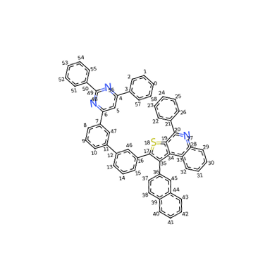 c1ccc(-c2cc(-c3cccc(-c4cccc(-c5sc6c(-c7ccccc7)nc7ccccc7c6c5-c5ccc6ccccc6c5)c4)c3)nc(-c3ccccc3)n2)cc1